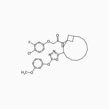 COc1cccc(Oc2nnc(C3CCCCCCCCCC4CC(NC(=O)COc5ccc(Cl)c(F)c5)(C4)C3)o2)c1